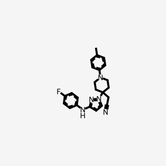 Cc1ccc(N2CCC(CC#N)(n3ccc(Nc4ccc(F)cc4)n3)CC2)cc1